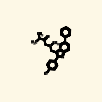 CN(CC(=O)N(C)C)Cc1c(-c2ccc(Cl)cc2)nc2ccc(-c3ccccc3)cn12